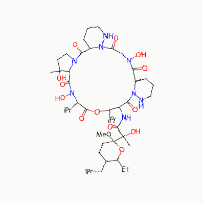 CCC1OC(OC)(C(C)(O)C(=O)NC2C(=O)N3NCCCC3C(=O)N(O)CC(=O)N3NCCCC3C(=O)N3CCC(C)(O)C3C(=O)N(O)C(C(C)C)C(=O)OC2C(C)C)CCC1CC(C)C